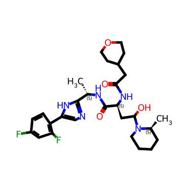 C[C@H](NC(=O)[C@H](CC(O)N1CCCC[C@@H]1C)NC(=O)CC1CCOCC1)c1ncc(-c2ccc(F)cc2F)[nH]1